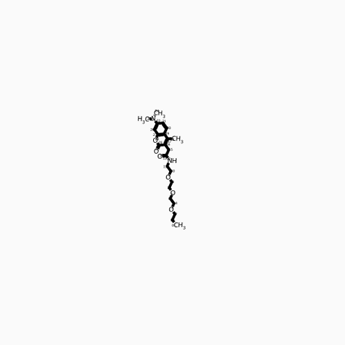 CCCOCCOCCOCCNC(=O)Cc1c(C)c2ccc(N(C)C)cc2oc1=O